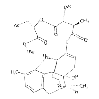 CC(=O)C[C@H](OC(=O)[C@H](OC(C)=O)[C@@H](C)C(=O)OC1=CC[C@@]2(O)[C@H]3Cc4ccc(C)c5c4[C@@]2(CCN3C)[C@H]1O5)C(=O)OC(C)(C)C